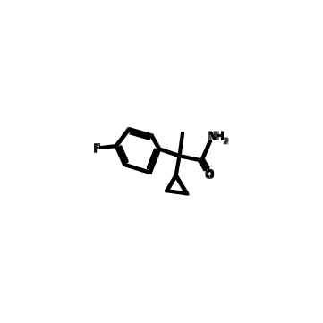 CC(C(N)=O)(c1ccc(F)cc1)C1CC1